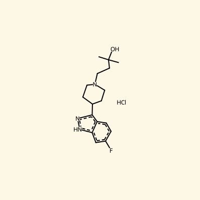 CC(C)(O)CCN1CCC(c2n[nH]c3cc(F)ccc23)CC1.Cl